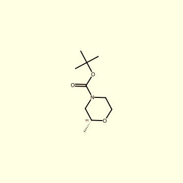 C[C@@H]1CN(C(=O)OC(C)(C)C)CCO1